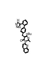 CCCCc1nc(C)n(-c2ccc3ccccc3n2)c(=O)c1Cc1ccc(-c2ccccc2-c2nnn[nH]2)cc1